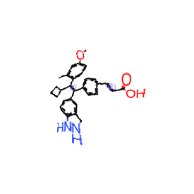 COc1ccc(/C(=C(\c2ccc(/C=C/C(=O)O)cc2)c2ccc3c(c2)CNN3)C2CCC2)c(C)c1